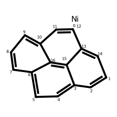 [Ni].c1cc2ccc3cccc4ccc(c1)c2c34